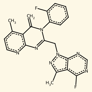 C=C1c2c(C)ccnc2N=C(Cn2nc(C)c3c(F)ncnc32)N1c1ccccc1F